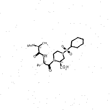 CN[C@@H](C)C(=O)N[C@H](C(=O)N1CCN(S(=O)(=O)C2CCCCC2)C[C@H]1C(=O)O)C(C)C